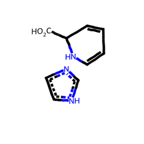 O=C(O)C1C=CC=CN1.c1c[nH]cn1